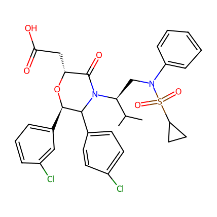 CC(C)[C@H](CN(c1ccccc1)S(=O)(=O)C1CC1)N1C(=O)[C@@H](CC(=O)O)O[C@H](c2cccc(Cl)c2)C1c1ccc(Cl)cc1